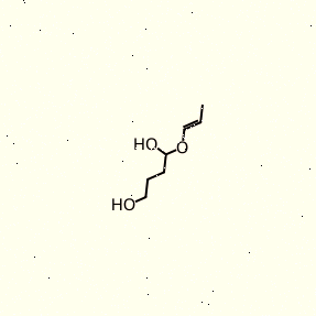 CC=COC(O)CCCO